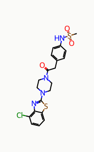 CS(=O)(=O)Nc1ccc(CC(=O)N2CCN(c3nc4c(Cl)cccc4s3)CC2)cc1